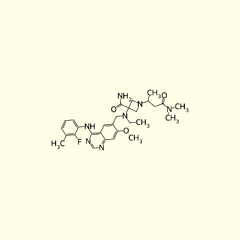 CCN(Cc1cc2c(Nc3cccc(C)c3F)ncnc2cc1OC)C1(C(N)=O)CN(C(C)CC(=O)N(C)C)C1